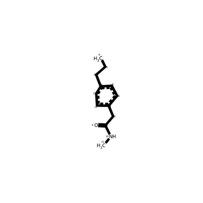 CCCc1ccc(CC(=O)NC)cc1